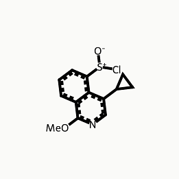 COc1ncc(C2CC2)c2c([S+]([O-])Cl)cccc12